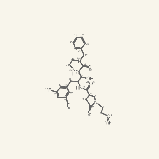 CCCOCCN1CC(C(=O)N[C@@H](Cc2cc(F)cc(F)c2)[C@H](O)[C@@H]2NCCN(Cc3ccccc3)C2=O)CC1=O